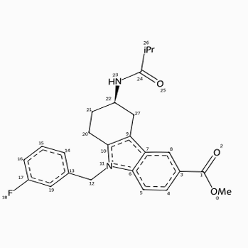 COC(=O)c1ccc2c(c1)c1c(n2Cc2cccc(F)c2)CC[C@@H](NC(=O)C(C)C)C1